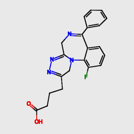 O=C(O)CCCC1=NN=C2CN=C(c3ccccc3)c3cccc(F)c3N2C1